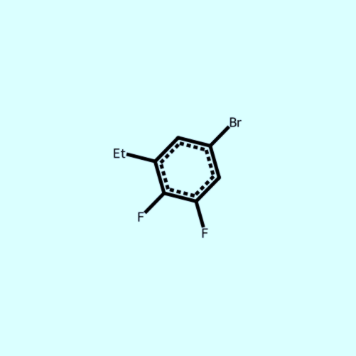 CCc1cc(Br)cc(F)c1F